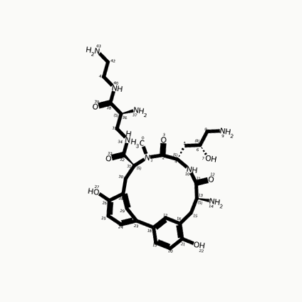 CN1C(=O)[C@H](C[C@@H](O)CN)NC(=O)[C@@H](N)Cc2cc(ccc2O)-c2ccc(O)c(c2)C[C@H]1C(=O)NC[C@H](N)C(=O)NCCN